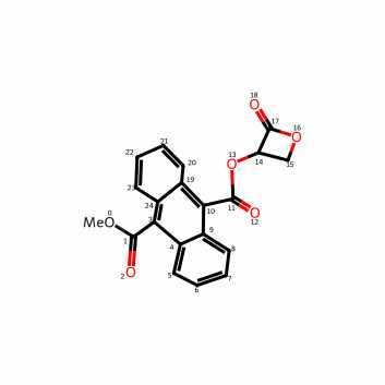 COC(=O)c1c2ccccc2c(C(=O)OC2COC2=O)c2ccccc12